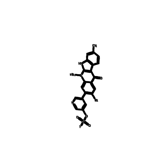 CCCCn1c2cc(-c3cncc(OS(=O)(=O)F)c3)c(CC)cc2c(=O)c2c3ccc(C#N)cc3[nH]c21